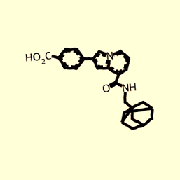 O=C(O)c1ccc(-c2cc3c(C(=O)NCC45CC6CC(CC(C6)C4)C5)cccn3c2)cc1